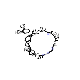 COC1CC(CC2[C@H]3CCCN4C(=O)C(=O)C5(O)O[C@@H](CCC5C)C[C@H](OC)/C(C)=C/C=C/C=C/[C@@H](C)CC(C)C(=O)[C@H](OC)C(O)/C(C)=C/C(C)C(=O)C[C@@H]2OC(=O)C34)CC[C@H]1O